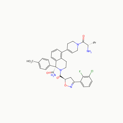 CC(C)[C@H](N)C(=O)N1CC=C(c2cccc3c2CCN(C(=O)[C@H]2CC(c4cccc(Cl)c4F)=NO2)[C@@]3(C(N)=O)c2ccc(C(=O)O)cc2)CC1